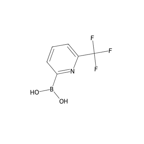 OB(O)c1cccc(C(F)(F)F)n1